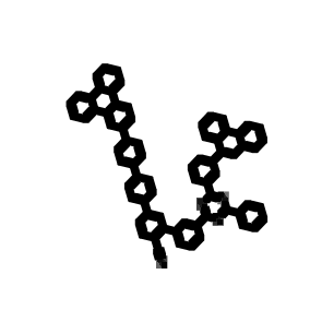 N#Cc1ccc(-c2ccc(-c3ccc(-c4ccc5c6ccccc6c6ccccc6c5c4)cc3)cc2)cc1-c1cccc(-c2nc(-c3ccccc3)nc(-c3cccc(-c4cc5ccccc5c5ccccc45)c3)n2)c1